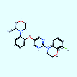 CC1COCCN1c1ccccc1Oc1cnc(N2CCOc3c(F)cccc32)nc1